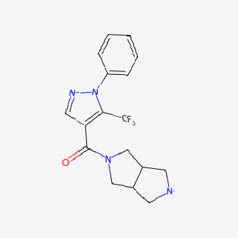 O=C(c1cnn(-c2ccccc2)c1C(F)(F)F)N1CC2C[N]CC2C1